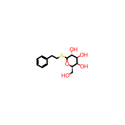 OC[C@H]1OC(SCCc2ccccc2)[C@H](O)[C@@H](O)[C@H]1O